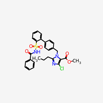 CCCc1nc(Cl)c(C(=O)OC)n1Cc1ccc(-c2ccccc2S(=O)(=O)NC(=O)c2ccccc2)cc1